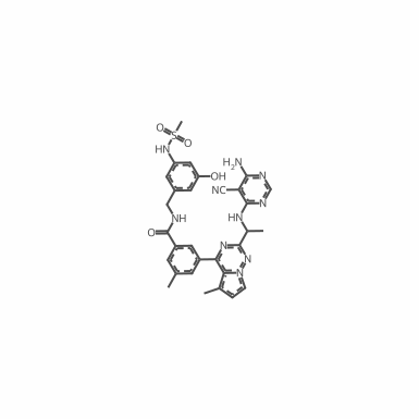 Cc1cc(C(=O)NCc2cc(O)cc(NS(C)(=O)=O)c2)cc(-c2nc(C(C)Nc3ncnc(N)c3C#N)nn3ccc(C)c23)c1